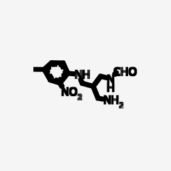 Cc1ccc(NCC(CN)CNC=O)c([N+](=O)[O-])c1